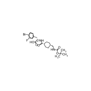 CC(C)(C)OC(=O)NC[C@H]1CC[C@H](C(=O)N[C@@H](Cc2ccc(Br)c(F)c2)C(=O)O)CC1